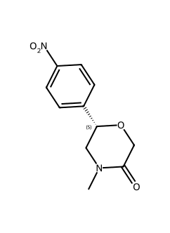 CN1C[C@H](c2ccc([N+](=O)[O-])cc2)OCC1=O